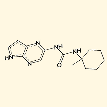 CC1(NC(=O)Nc2cnc3[nH]ccc3n2)CCCCC1